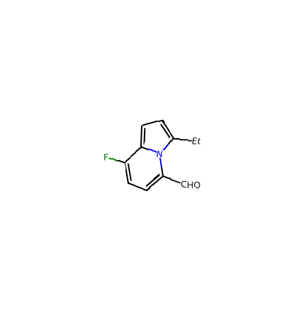 CCc1ccc2c(F)ccc(C=O)n12